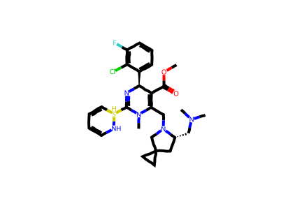 COC(=O)C1=C(CN2CC3(CC3)C[C@H]2CN(C)C)N(C)C([SH]2C=CC=CN2)=N[C@H]1c1cccc(F)c1Cl